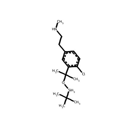 CNCCc1ccc(Cl)c(C(C)(C)O[SiH2]C(C)(C)C)c1